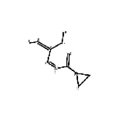 C=C(/N=C\C(=C/C)CC)C1CC1